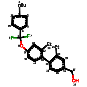 CCCCc1ccc(C(F)(F)Oc2ccc(-c3ccc(CO)cc3CC)c(CC)c2)cc1